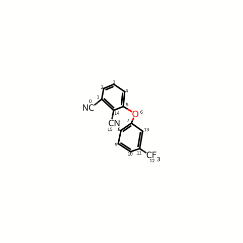 N#Cc1cccc(Oc2cccc(C(F)(F)F)c2)c1C#N